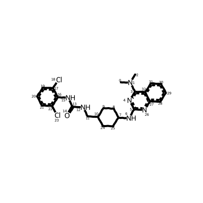 CN(C)c1nc(NC2CCC(CNC(=O)Nc3c(Cl)cccc3Cl)CC2)nc2ccccc12